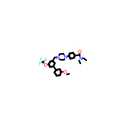 CCOc1cccc(-c2cc(CN3CCN(c4ccc(C(=O)N(CC)CC)cc4)CC3)cc(OC(F)(F)F)c2)c1